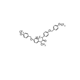 CC(C(=O)C(C)c1ccc(OCc2ccc(OC(F)(F)F)cc2)cc1)c1ccc(OCc2ccc(OC(F)(F)F)cc2)cc1